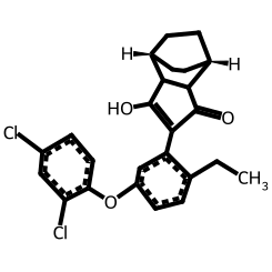 CCc1ccc(Oc2ccc(Cl)cc2Cl)cc1C1=C(O)C2C(C1=O)[C@H]1CC[C@@H]2CC1